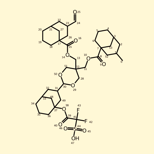 CC1CC2CCCC(C(=O)OCC3(COC(=O)C45CCCC(CC(C=O)C4)C5)COC(C4CC5CCCC(OC(=O)C(F)(F)S(=O)(=O)O)(C5)C4)OC3)(C1)C2